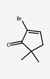 CC1(C)CC=C(Br)C1=O